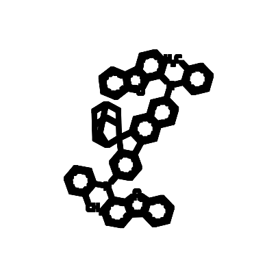 Cc1ccccc1N(c1ccc2c(c1)C1(c3cc4cc(N(c5ccccc5C)c5cccc6c5oc5ccccc56)ccc4cc3-2)C2CC3CC(C2)CC1C3)c1cccc2c1oc1ccccc12